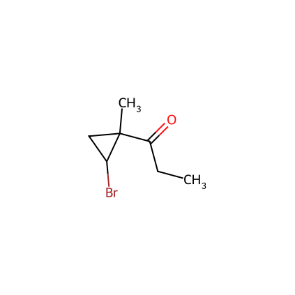 CCC(=O)C1(C)CC1Br